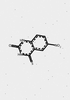 O=c1[nH]c(=S)c2cc([N+](=O)[O-])ccc2[nH]1